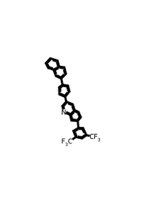 FC(F)(F)c1cc(-c2ccc3cc(-c4ccc(-c5ccc6ccccc6c5)cc4)cnc3c2)cc(C(F)(F)F)c1